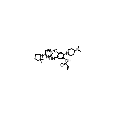 C=CC(=O)Nc1cc(Nc2nccc(N3CCCCC3(C)C)n2)c(OC)cc1N1CCC(N(C)C)CC1